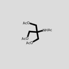 CC(=O)NC(COC(C)=O)(COC(C)=O)COC(C)=O